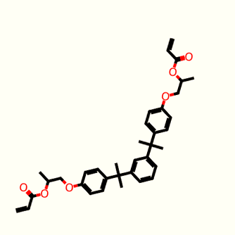 C=CC(=O)OC(C)COc1ccc(C(C)(C)c2cccc(C(C)(C)c3ccc(OCC(C)OC(=O)C=C)cc3)c2)cc1